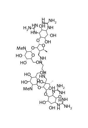 CNC1[C@H](OC2[C@H](O[C@@H]3C(O)[C@@H](O)C(NC(=N)N)C(O)[C@@H]3NC(=N)N)O[C@@H](C)[C@H]2CNCCCCNC[C@@]2(O)C(O[C@@H]3OC(CO)[C@H](O)[C@H](O)C3NC)[C@H](O[C@@H]3C(O)[C@@H](O)C(NC(=N)N)C(O)[C@@H]3NC(=N)N)O[C@H]2C)OC(CO)[C@H](O)[C@@H]1O